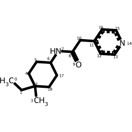 CCC1(C)CCC(NC(=O)Cc2ccncc2)CC1